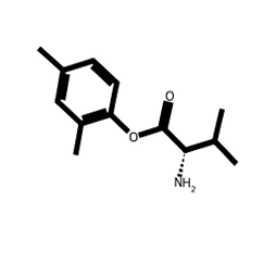 Cc1ccc(OC(=O)[C@@H](N)C(C)C)c(C)c1